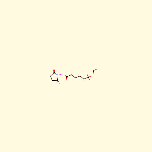 CCOC(C)(C)CCCCC(=O)ON1C(=O)CCC1=O